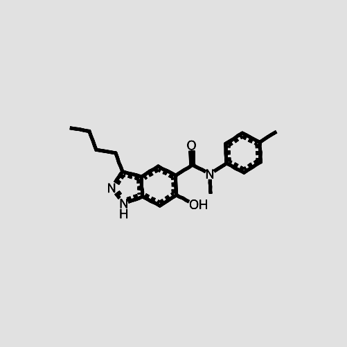 CCCCc1n[nH]c2cc(O)c(C(=O)N(C)c3ccc(C)cc3)cc12